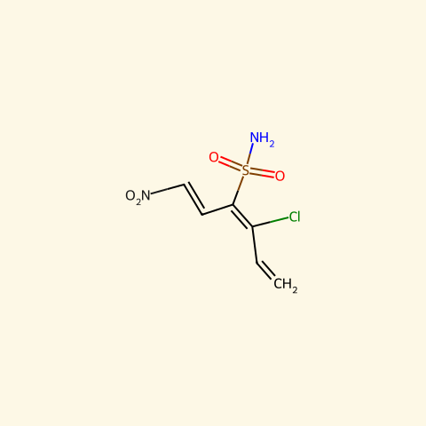 C=C/C(Cl)=C(\C=C\[N+](=O)[O-])S(N)(=O)=O